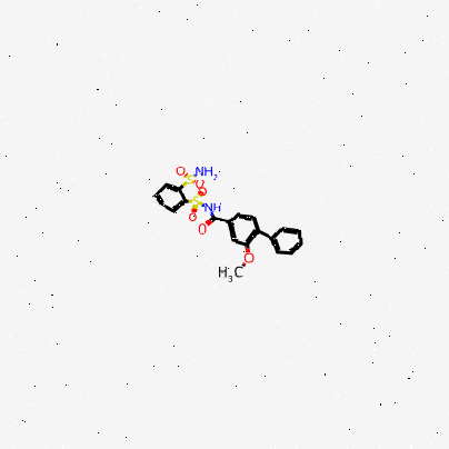 COc1cc(C(=O)NS(=O)(=O)c2ccccc2S(N)(=O)=O)ccc1-c1ccccc1